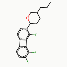 CCCC1CCC(c2ccc3c(c2F)-c2c-3ccc(F)c2F)OC1